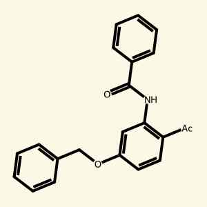 CC(=O)c1ccc(OCc2ccccc2)cc1NC(=O)c1ccccc1